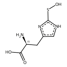 N[C@@H](Cc1c[nH]c(SO)n1)C(=O)O